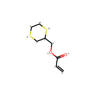 C=CC(=O)OCC1CSCCS1